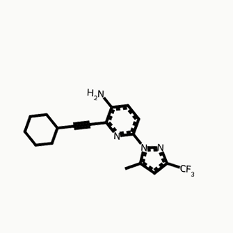 Cc1cc(C(F)(F)F)nn1-c1ccc(N)c(C#CC2CCCCC2)n1